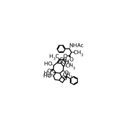 CC(=O)N[C@@H](c1ccccc1)[C@@H](C)C(=O)O[C@H]1C[C@@]2(C)[C@@H](OC(=O)c3ccccc3)C3C(C)(C(=O)[C@H](O)C(=C1C)C2(C)C)[C@@H](O)CC1CC[C@]13C